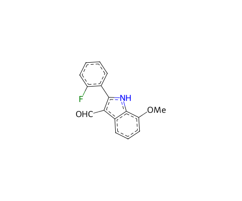 COc1cccc2c(C=O)c(-c3ccccc3F)[nH]c12